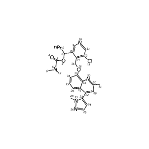 CCCC(OC(=O)N(C)C)c1cncc(Cl)c1COc1cccc2c(-c3ccnn3C)cc(C)nc12